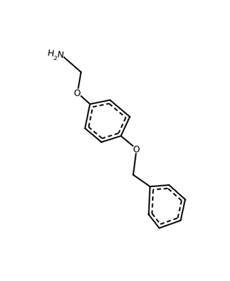 NCOc1ccc(OCc2ccccc2)cc1